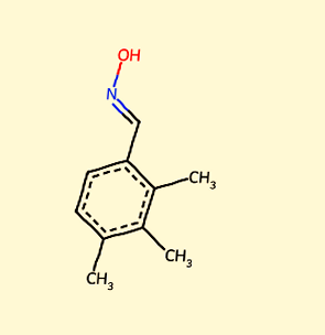 Cc1ccc(C=NO)c(C)c1C